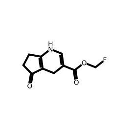 O=C1CCC2=C1CC(C(=O)OCF)=CN2